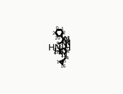 c1ccc(-c2nnn3c2CN[C@@H]2CN(CC4CC4)C[C@H]23)cc1